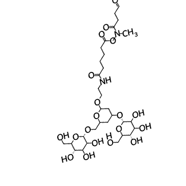 CN(OC(=O)CCCCC(=O)NCCOC1CC(O[C@H]2OC(CO)[C@@H](O)C(O)C2O)CC(CO[C@H]2OC(CO)[C@@H](O)C(O)C2O)O1)C(=O)CCC=O